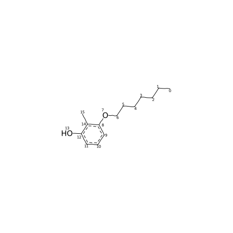 CCCCCCCOc1cccc(O)c1C